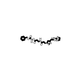 O=C(CC[C@H]1CC(CCN[C@H]2N=CCN2)=NO1)NCCC(=O)ONC(=O)OCc1ccccc1